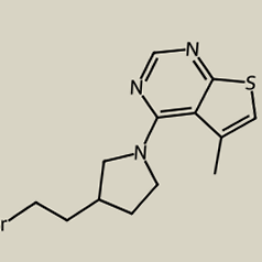 Cc1csc2ncnc(N3CCC(CCBr)C3)c12